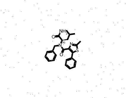 Cc1nc(C(=O)N(Cc2ccccc2)[C@H](CC(C)C)C(N)=O)c(-c2ccccc2)s1